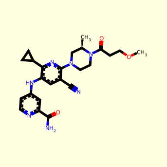 COCCC(=O)N1CCN(c2nc(C3CC3)c(Nc3ccnc(C(N)=O)c3)cc2C#N)C[C@H]1C